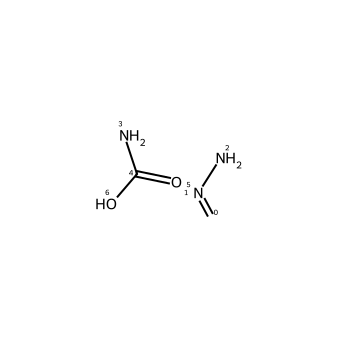 C=NN.NC(=O)O